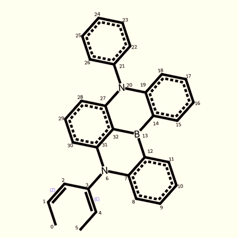 C/C=C\C(=C/C)N1c2ccccc2B2c3ccccc3N(c3ccccc3)c3cccc1c32